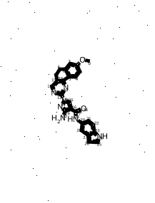 COc1ccc2c(c1)CCc1cnc(-n3cc(C(=O)Nc4ccc5[nH]ccc5c4)c(N)n3)nc1-2